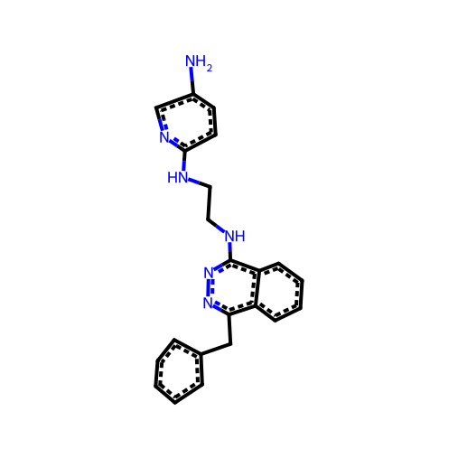 Nc1ccc(NCCNc2nnc(Cc3ccccc3)c3ccccc23)nc1